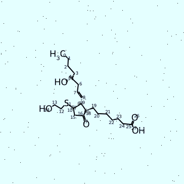 CCCC[C@@H](O)CC=C[C@H]1[C@H](SCCO)CC(=O)[C@@H]1CCCCCCC(=O)O